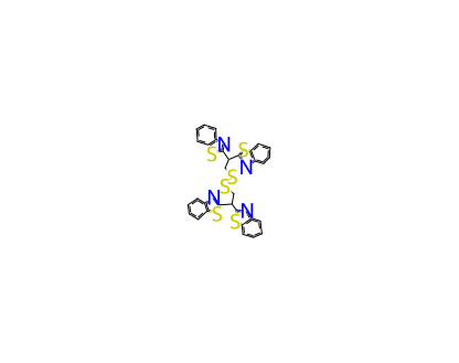 c1ccc2sc(C(CSSCC(c3nc4ccccc4s3)c3nc4ccccc4s3)c3nc4ccccc4s3)nc2c1